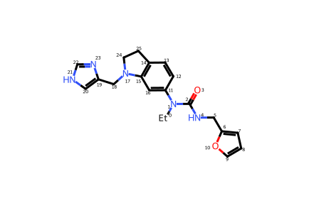 CCN(C(=O)NCc1ccco1)c1ccc2c(c1)N(Cc1c[nH]cn1)CC2